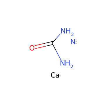 NC(N)=O.[Ca].[N]